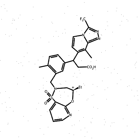 CC[C@@H]1CN(Cc2cc(C(CC(=O)O)c3ccn4c(C(F)(F)F)nnc4c3C)ccc2C)S(=O)(=O)c2cccnc2O1